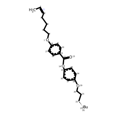 C/C=C\CCCCOc1ccc(C(=O)Oc2ccc(OCCC[C@@H](C)CC)cc2)cc1